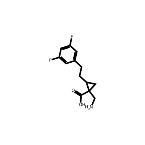 NCC1(C(=O)O)CC1CCc1cc(F)cc(F)c1